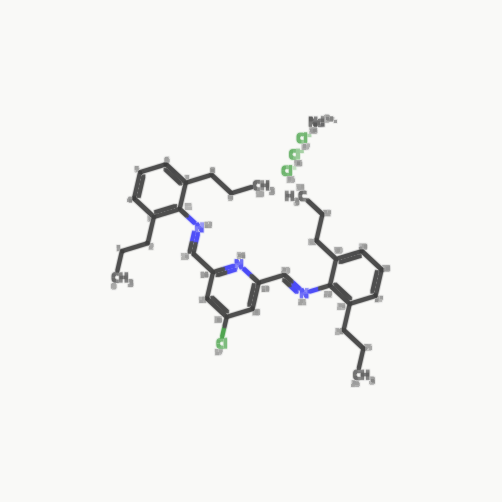 CCCc1cccc(CCC)c1N=Cc1cc(Cl)cc(C=Nc2c(CCC)cccc2CCC)n1.[Cl-].[Cl-].[Cl-].[Nd+3]